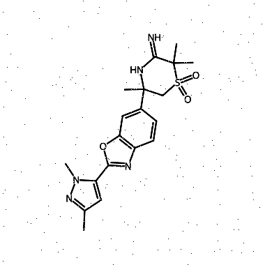 Cc1cc(-c2nc3ccc(C4(C)CS(=O)(=O)C(C)(C)C(=N)N4)cc3o2)n(C)n1